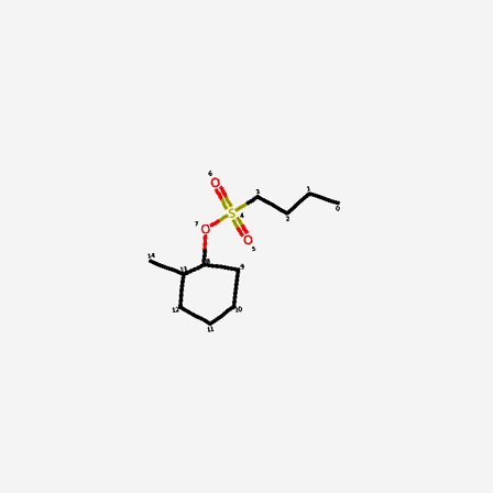 CCCCS(=O)(=O)OC1CCCCC1C